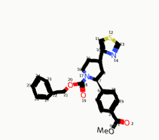 COC(=O)c1ccc([C@@H]2CC(c3cscn3)CCN2C(=O)OCc2ccccc2)cc1